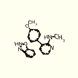 CNc1ncccc1-c1ccc(OC)cc1.c1cc2cc3c1o[nH]n2-3